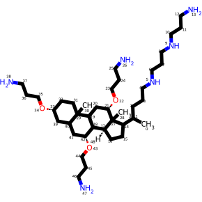 CC(CCCNCCCNCCCN)C1CC[C@H]2C3C(C[C@H](OCCCN)C12C)C1(C)CC[C@@H](OCCCN)CC1C[C@H]3OCCCN